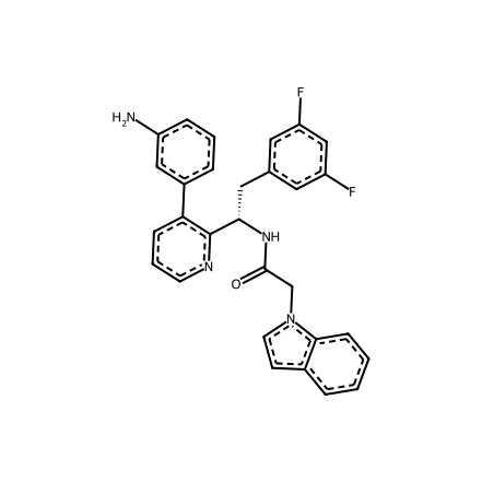 Nc1cccc(-c2cccnc2[C@H](Cc2cc(F)cc(F)c2)NC(=O)Cn2ccc3ccccc32)c1